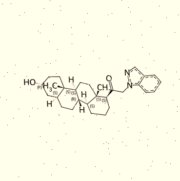 C[C@]12CC[C@@H](O)C[C@@H]1CC[C@@H]1[C@@H]2CC[C@]2(C)[C@@H](C(=O)Cn3ncc4ccccc43)CCC[C@@H]12